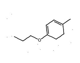 CCCOC1=CC=C(C)CC1